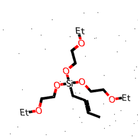 CC=CC[Si](OCCOCC)(OCCOCC)OCCOCC